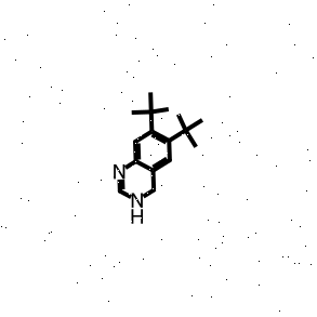 CC(C)(C)c1cc2c(cc1C(C)(C)C)N=CNC2